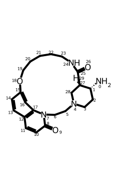 N[C@@H]1CCN2CCn3c(=O)ccc4ccc(cc43)OCCCCCNC(=O)[C@H]1C2